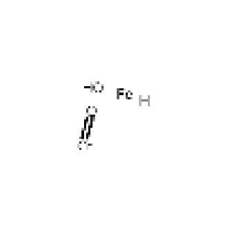 [Fe].[H+].[OH-].[O]=[Cr]